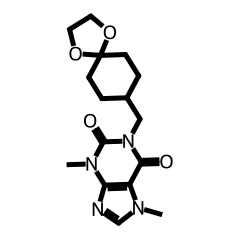 Cn1cnc2c1c(=O)n(CC1CCC3(CC1)OCCO3)c(=O)n2C